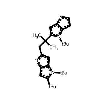 CC(C)(C)c1cc2oc(CC(C)(C)c3cc4sccc4n3C(C)(C)C)cc2n1C(C)(C)C